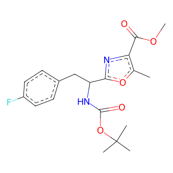 COC(=O)c1nc(C(Cc2ccc(F)cc2)NC(=O)OC(C)(C)C)oc1C